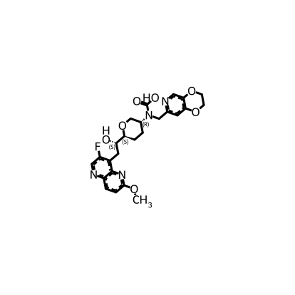 COc1ccc2ncc(F)c(C[C@H](O)[C@@H]3CC[C@@H](N(Cc4cc5c(cn4)OCCO5)C(=O)O)CO3)c2n1